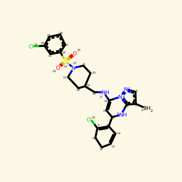 Bc1cnn2c1NC(C1=C(Cl)CCC=C1)C=C2NCC1CCN(S(=O)(=O)c2cccc(Cl)c2)CC1